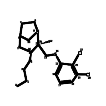 CCCC[C@H]1CC2CCN(C2)[C@@]1(C)CSc1cccc(Cl)c1Cl